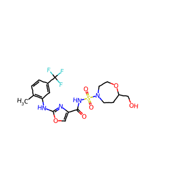 Cc1ccc(C(F)(F)F)cc1Nc1nc(C(=O)NS(=O)(=O)N2CCOC(CO)CC2)co1